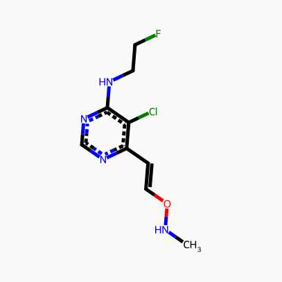 CNO/C=C/c1ncnc(NCCF)c1Cl